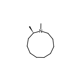 C[C@@H]1CCCCCCCCCN1C